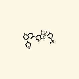 Cc1ccc([N+](=O)[O-])cc1S(=O)(=O)Nc1cc(-c2ccc3nccc(-c4ccncc4)c3c2)cnc1Cl